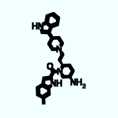 Cc1ccc2cc(C(=O)N3C[C@H](N)CC[C@@H]3CCN3CCC(c4c[nH]c5ccccc45)CC3)[nH]c2c1